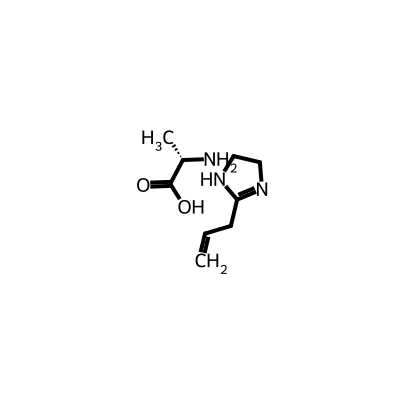 C=CCC1=NCCN1.C[C@H](N)C(=O)O